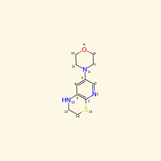 c1nc2c(cc1N1CCOCC1)NCCS2